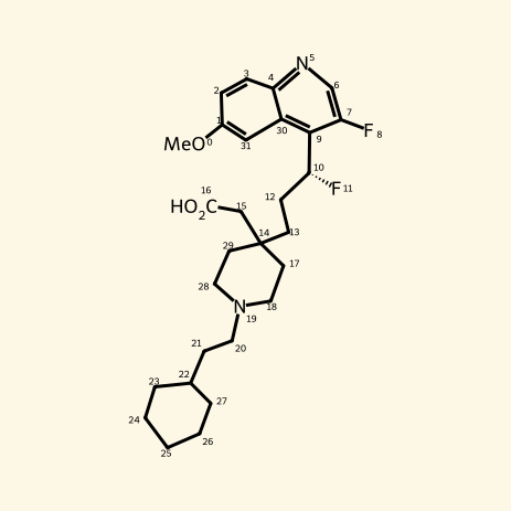 COc1ccc2ncc(F)c([C@H](F)CCC3(CC(=O)O)CCN(CCC4CCCCC4)CC3)c2c1